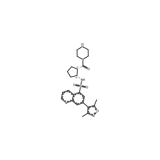 Cc1noc(C)c1-c1cc(S(=O)(=O)N[C@@H]2CCC[C@@H]2C(=O)N2CCNCC2)c2cccnc2c1